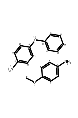 COc1ccc(N)cc1.Nc1ccc(Oc2ccccc2)cc1